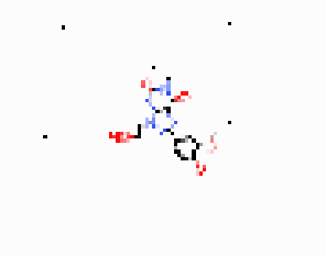 COc1ccc(-c2nc3c(=O)n(C)c(=O)nc-3n(CCO)n2)cc1OC